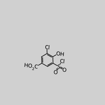 O=C(O)c1cc(Cl)c(O)c(S(=O)(=O)Cl)c1